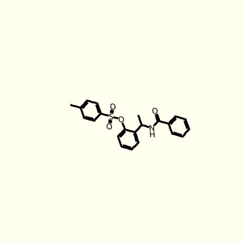 Cc1ccc(S(=O)(=O)Oc2ccccc2C(C)NC(=O)c2ccccc2)cc1